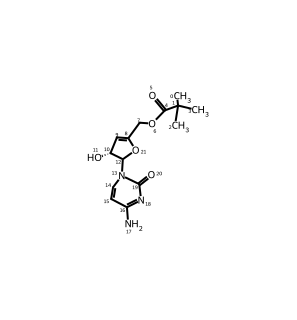 CC(C)(C)C(=O)OCC1=C[C@@H](O)C(n2ccc(N)nc2=O)O1